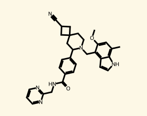 COc1cc(C)c2[nH]ccc2c1CN1CCC2(CC(C#N)C2)CC1c1ccc(C(=O)NCc2ncccn2)cc1